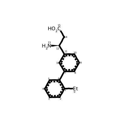 CCc1ccccc1-c1cccc([C@@H](N)CC(=O)O)c1